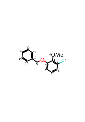 COc1c(F)c[c]cc1OCc1ccccc1